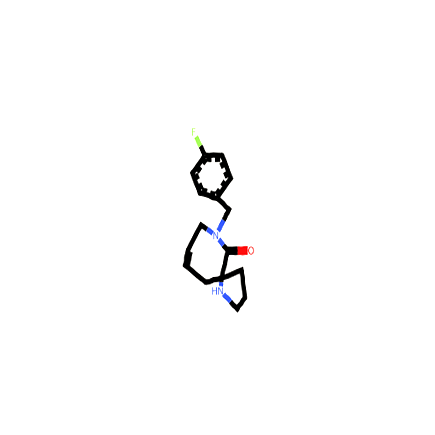 O=C1N(Cc2ccc(F)cc2)CC=CCC12CCCN2